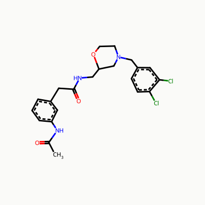 CC(=O)Nc1cccc(CC(=O)NCC2CN(Cc3ccc(Cl)c(Cl)c3)CCO2)c1